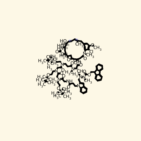 COc1cc2cc(c1Cl)N(C)C(=O)C[C@H](OC(=O)[C@H](C)N(C)C(=O)CCN(CCO[Si](C)(C)C(C)(C)C)C(=O)CN(CCO[Si](C)(C)C(C)(C)C)C(=O)CN(CCO[Si](C)(C)C(C)(C)C)C(=O)CNC(=O)CCn1c(CN(C)N(C)C(=O)OCC3c4ccccc4-c4ccccc43)cc3ccccc31)[C@@]1(C)CC(C)(O1)[C@@H]1C[C@@](O)(NC(=O)O1)[C@H](O)/C=C/C=C(\C)C2